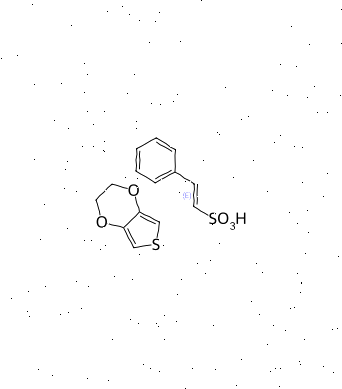 O=S(=O)(O)/C=C/c1ccccc1.c1scc2c1OCCO2